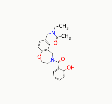 CCN(Cc1ccc2c(c1)CN(C(=O)c1ccccc1O)CCO2)C(C)=O